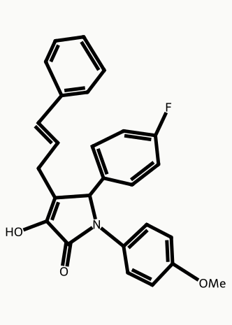 COc1ccc(N2C(=O)C(O)=C(C/C=C/c3ccccc3)C2c2ccc(F)cc2)cc1